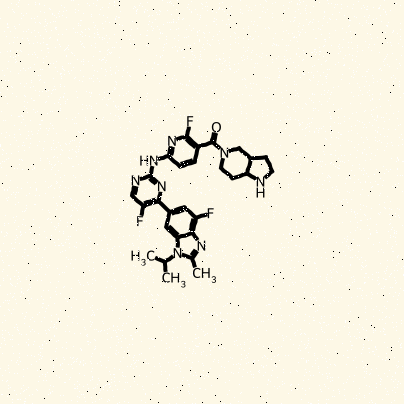 Cc1nc2c(F)cc(-c3nc(Nc4ccc(C(=O)N5CCC6NCCC6C5)c(F)n4)ncc3F)cc2n1C(C)C